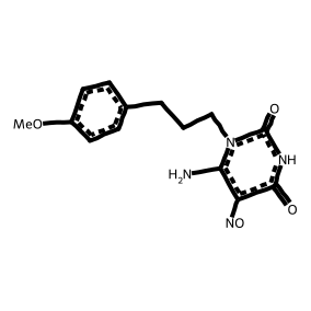 COc1ccc(CCCn2c(N)c(N=O)c(=O)[nH]c2=O)cc1